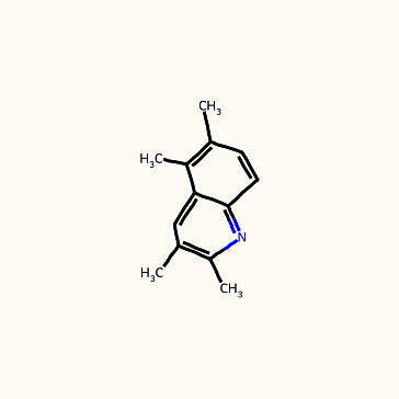 Cc1cc2c(C)c(C)ccc2nc1C